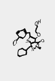 Cn1nc(C2CCCCC2)c2sc(Cc3cccc(Cl)c3)c(OCCO)c2c1=O